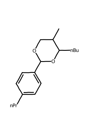 CCCCC1OC(c2ccc(CCC)cc2)OCC1C